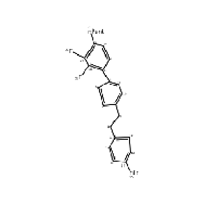 CCCCCc1ccc(-c2ccc(CCc3ccc(CCC)cc3)cc2)c(F)c1F